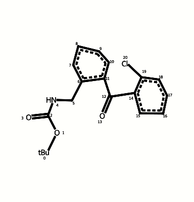 CC(C)(C)OC(=O)NCc1ccccc1C(=O)c1ccccc1Cl